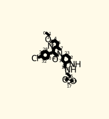 CCOc1ccc2cn(C3=C/C(=C/NCCS(C)(=O)=O)C(=N)C=C3)c(=O)c(-c3ccc(Cl)cc3)c2n1